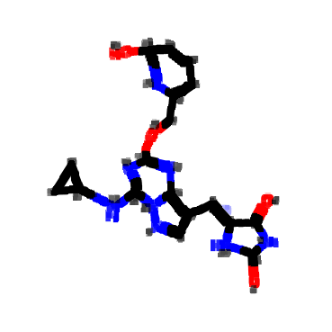 O=C1NC(=O)/C(=C/c2cnn3c(NC4CC4)nc(OCc4cccc(O)n4)nc23)N1